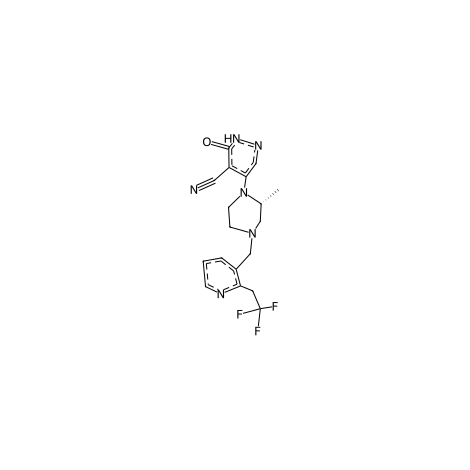 C[C@@H]1CN(Cc2cccnc2CC(F)(F)F)CCN1c1cn[nH]c(=O)c1C#N